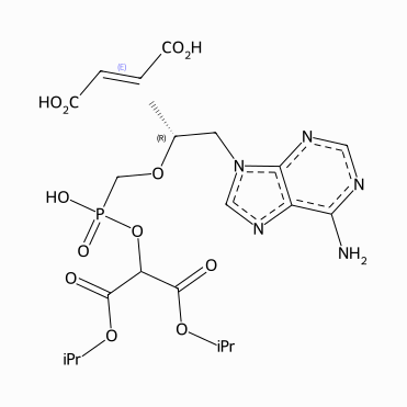 CC(C)OC(=O)C(OP(=O)(O)CO[C@H](C)Cn1cnc2c(N)ncnc21)C(=O)OC(C)C.O=C(O)/C=C/C(=O)O